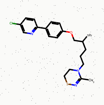 CCCC(CCCN1CCSN=C1C)COc1ccc(-c2ccc(Cl)cn2)cc1